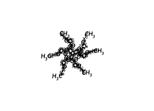 CCCCCOc1cccc(C(=O)Oc2cc3c4cc(OC(=O)c5cccc(OCCCCC)c5)c(OC(=O)c5cccc(OCCCCC)c5)cc4c4cc(OC(=O)c5cccc(OCCCCC)c5)c(OC(=O)c5cccc(OCCCCC)c5)cc4c3cc2OC(=O)c2cccc(OCCCCC)c2)c1